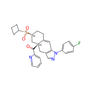 O=C(c1ccccn1)[C@]12Cc3cnn(-c4ccc(F)cc4)c3C=C1CC[C@H](S(=O)(=O)C1CCC1)C2